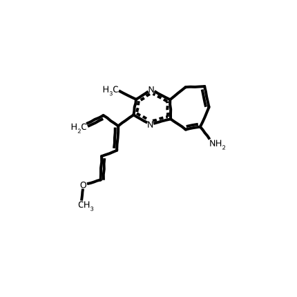 C=C/C(=C\C=C\OC)c1nc2c(nc1C)CC=CC(N)=C2